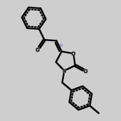 Cc1ccc(CN2C/C(=C\C(=O)c3ccccc3)OC2=O)cc1